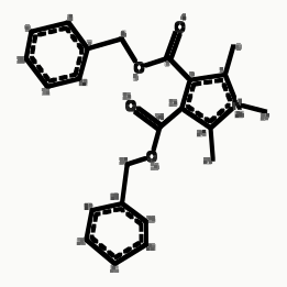 Cc1c(C(=O)OCc2ccccc2)c(C(=O)OCc2ccccc2)c(C)n1C